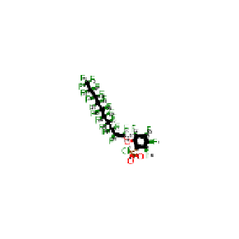 O=S(=O)(Cl)c1c(F)c(F)c(F)c(F)c1OC(F)=C(F)C(F)(F)C(F)(F)C(F)(F)C(F)(F)C(F)(F)C(F)(F)C(F)(F)C(F)(F)F